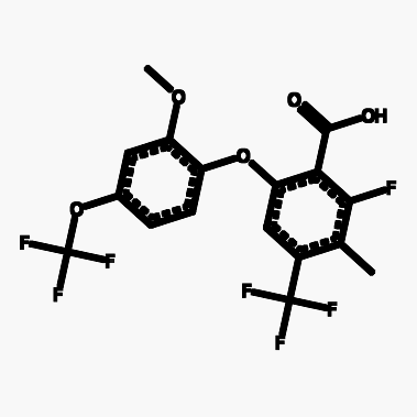 COc1cc(OC(F)(F)F)ccc1Oc1cc(C(F)(F)F)c(C)c(F)c1C(=O)O